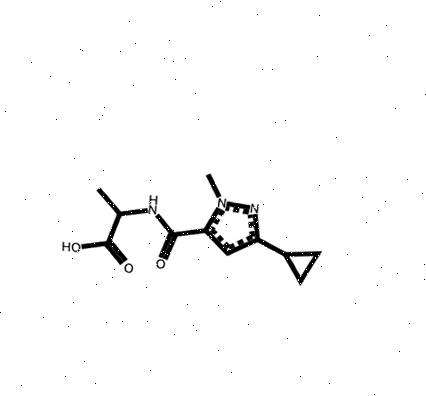 CC(NC(=O)c1cc(C2CC2)nn1C)C(=O)O